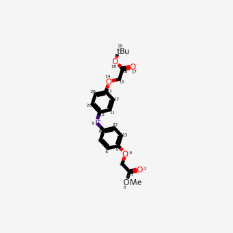 COC(=O)COc1ccc([I+]c2ccc(OCC(=O)OC(C)(C)C)cc2)cc1